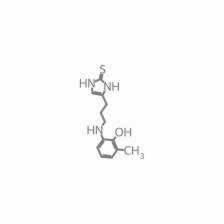 Cc1cccc(NCCCc2c[nH]c(=S)[nH]2)c1O